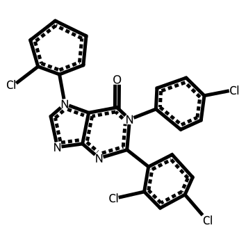 O=c1c2c(ncn2-c2ccccc2Cl)nc(-c2ccc(Cl)cc2Cl)n1-c1ccc(Cl)cc1